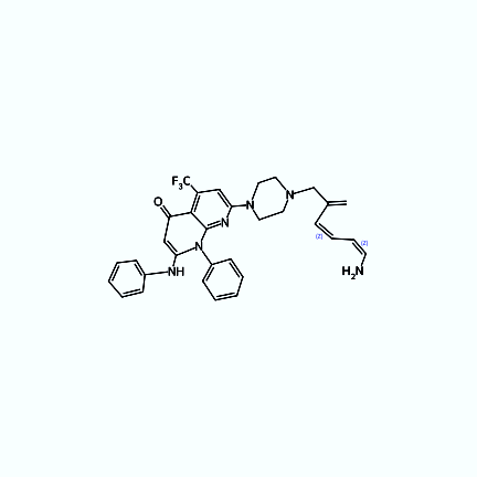 C=C(/C=C\C=C/N)CN1CCN(c2cc(C(F)(F)F)c3c(=O)cc(Nc4ccccc4)n(-c4ccccc4)c3n2)CC1